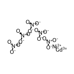 O=[N+]([O-])[O-].O=[N+]([O-])[O-].O=[N+]([O-])[O-].O=[N+]([O-])[O-].O=[N+]([O-])[O-].[Gd+3].[Ni+2]